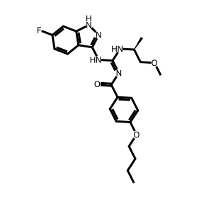 CCCCOc1ccc(C(=O)/N=C(\Nc2n[nH]c3cc(F)ccc23)N[C@@H](C)COC)cc1